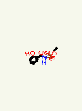 CCOS(=O)(=O)NC(=O)c1ccccc1O